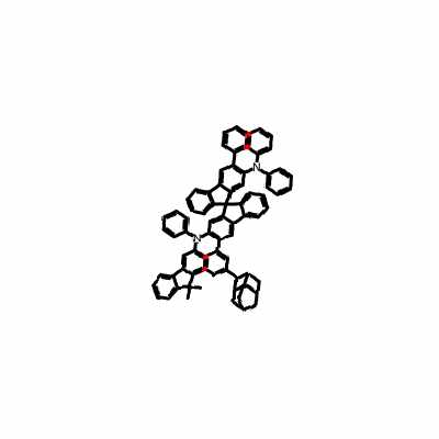 CC1(C)c2ccccc2-c2cc(N(c3ccccc3)c3cc4c(cc3-c3cccc(C5C6CC7CC(C6)CC5C7)c3)-c3ccccc3C43c4ccccc4-c4cc(-c5ccccc5)c(N(c5ccccc5)c5ccccc5)cc43)ccc21